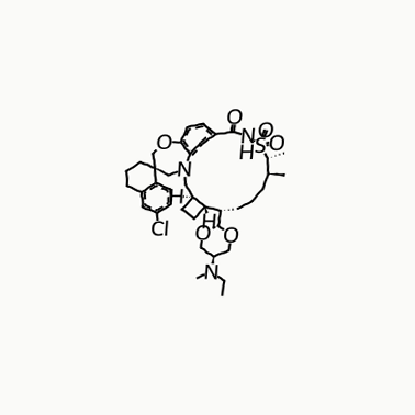 CCN(C)[C@H]1CO[C@H]([C@H]2CCC[C@H](C)[C@@H](C)S(=O)(=O)NC(=O)c3ccc4c(c3)N(C[C@@H]3CC[C@H]32)C[C@@]2(CCCc3cc(Cl)ccc32)CO4)OC1